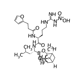 CC(C)C[C@H](NC(=O)[C@H](CCCNC(=N)N[N+](=O)O)NC(=O)CCc1ccco1)B1O[C@@H]2C[C@@H]3C[C@@H](C3(C)C)[C@]2(C)O1